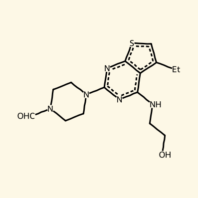 CCc1csc2nc(N3CCN(C=O)CC3)nc(NCCO)c12